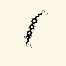 CCCCCC1CCC(C2CCC(C3CCC(C#N)(CCCCC)CC3)CC2)CC1